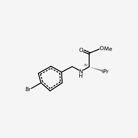 COC(=O)[C@@H](NCc1ccc(Br)cc1)C(C)C